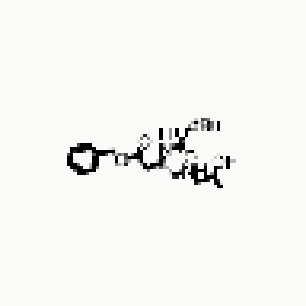 CC(O)CNC[C@H](CC(=O)OCc1ccccc1)NC(=O)OC(C)(C)C